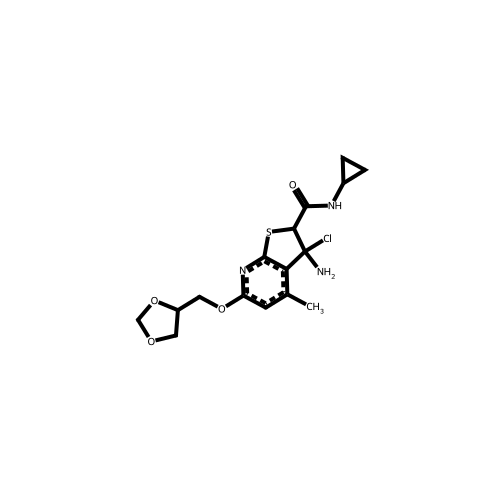 Cc1cc(OCC2COCO2)nc2c1C(N)(Cl)C(C(=O)NC1CC1)S2